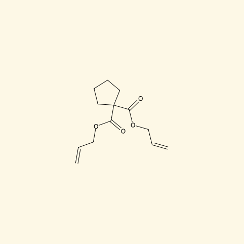 C=CCOC(=O)C1(C(=O)OCC=C)CCCC1